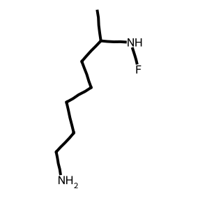 CC(CCCCCN)NF